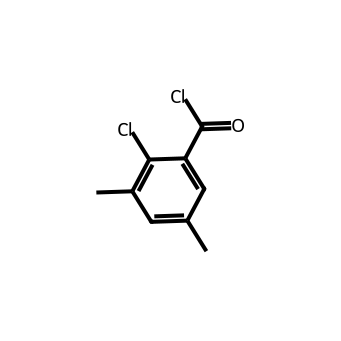 Cc1cc(C)c(Cl)c(C(=O)Cl)c1